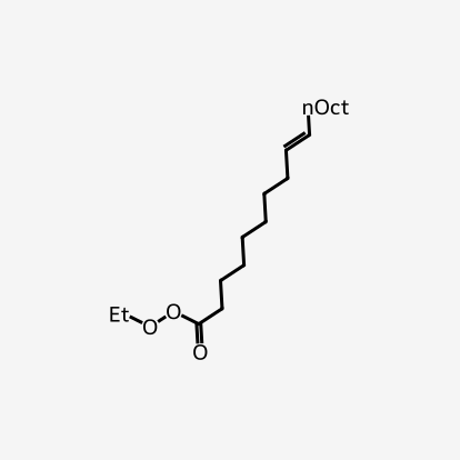 CCCCCCCCC=CCCCCCCCC(=O)OOCC